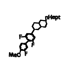 CCCCCCCC1CCC2CC(c3cc(F)c(-c4ccc(OC)c(F)c4)c(F)c3)CCC2C1